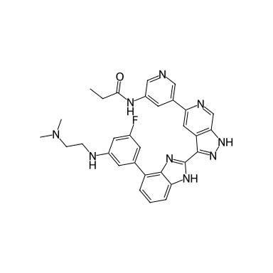 CCC(=O)Nc1cncc(-c2cc3c(-c4nc5c(-c6cc(F)cc(NCCN(C)C)c6)cccc5[nH]4)n[nH]c3cn2)c1